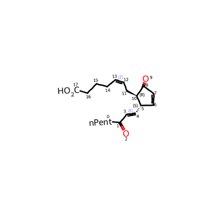 CCCCCC(=O)/C=C/[C@H]1C=CC(=O)[C@@H]1C/C=C\CCCC(=O)O